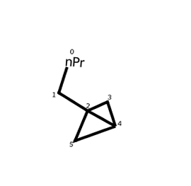 CCCCC12CC1C2